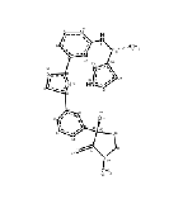 C[C@@H](Nc1nccc(-c2nc(-c3cccc([C@]4(O)CCN(C)C4=O)c3)cs2)n1)c1cc[nH]n1